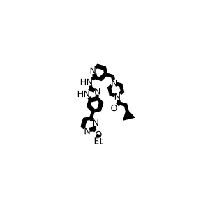 CCOc1nccc(-c2ccc3nc(Nc4cc(CN5CCN(C(=O)CC6CC6)CC5)ccn4)[nH]c3c2)n1